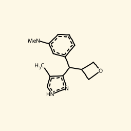 CNc1cccc(C(c2n[nH]cc2C)C2COC2)c1